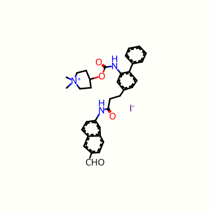 C[N+]1(C)CCC(OC(=O)Nc2cc(CCC(=O)Nc3ccc4cc(C=O)ccc4c3)ccc2-c2ccccc2)CC1.[I-]